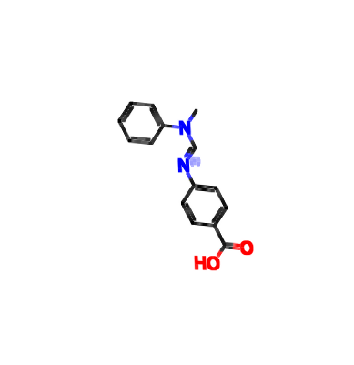 CN(/C=N/c1ccc(C(=O)O)cc1)c1ccccc1